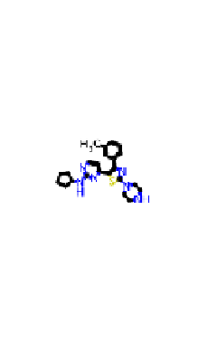 Cc1cccc(-c2nc(N3CCNCC3)sc2-c2ccnc(NC3CCCC3)n2)c1